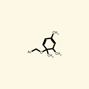 CC(=O)COC1(C)C=CC(C)=CC1C